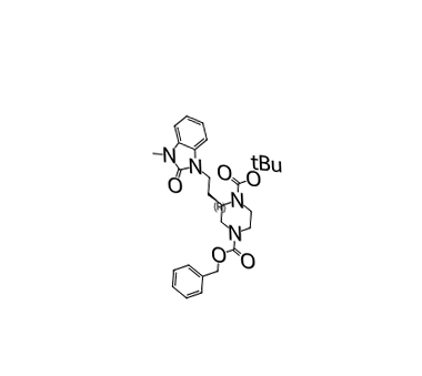 Cn1c(=O)n(CC[C@@H]2CN(C(=O)OCc3ccccc3)CCN2C(=O)OC(C)(C)C)c2ccccc21